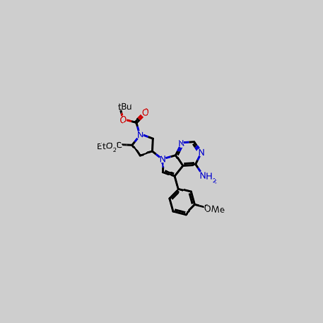 CCOC(=O)C1CC(n2cc(-c3cccc(OC)c3)c3c(N)ncnc32)CN1C(=O)OC(C)(C)C